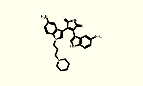 Nc1ccc2[nH]cc(C3=C(c4cn(CCCN5CCCCC5)c5ccc(N)cc45)C(=O)NC3=O)c2c1